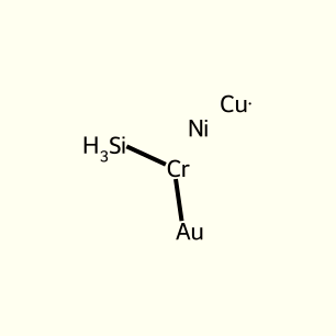 [Cu].[Ni].[SiH3][Cr][Au]